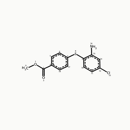 COC(=O)c1ccc(Sc2ccc(Cl)cc2N)cc1